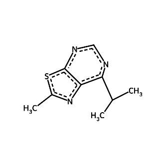 Cc1nc2c(C(C)C)ncnc2s1